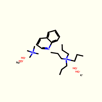 CCC[N+](CCC)(CCC)CCC.C[N+](C)(C)C.[K+].[Na+].[OH-].[OH-].[OH-].[OH-].c1ccc2ncccc2c1